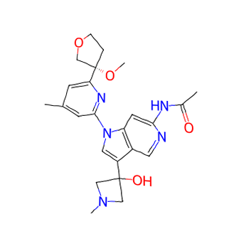 CO[C@@]1(c2cc(C)cc(-n3cc(C4(O)CN(C)C4)c4cnc(NC(C)=O)cc43)n2)CCOC1